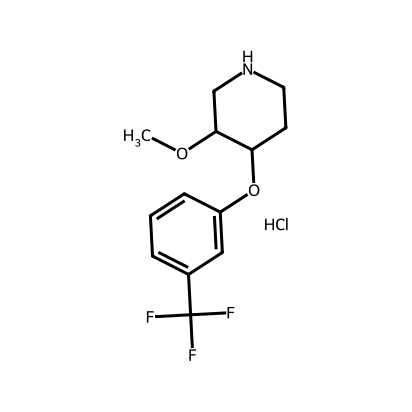 COC1CNCCC1Oc1cccc(C(F)(F)F)c1.Cl